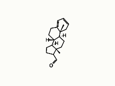 C[C@]12CC=CC=C1CC[C@@H]1[C@@H]2CC[C@]2(C)C(C=O)CC[C@@H]12